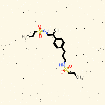 CCCS(=O)(=O)NCCCc1ccc(C(C)CNS(=O)(=O)CCC)cc1